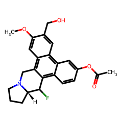 COc1cc2c3c(c4ccc(OC(C)=O)cc4c2cc1CO)C(F)[C@@H]1CCCN1C3